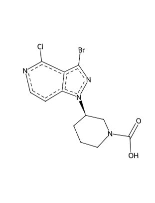 O=C(O)N1CCC[C@@H](n2nc(Br)c3c(Cl)nccc32)C1